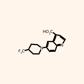 O=C(O)c1ccnc2ccc(N3CCC(C(F)(F)F)CC3)cc12